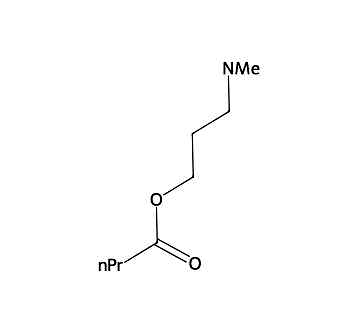 CCCC(=O)OCCCNC